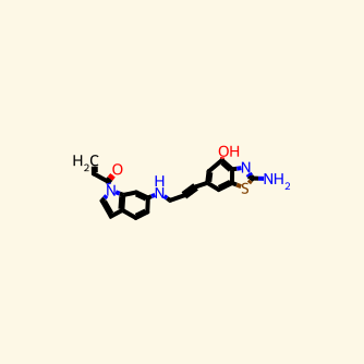 C=CC(=O)n1ccc2ccc(NCC#Cc3cc(O)c4nc(N)sc4c3)cc21